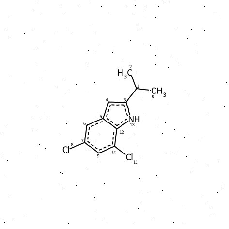 CC(C)c1cc2cc(Cl)cc(Cl)c2[nH]1